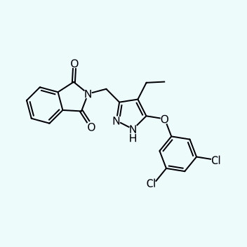 CCc1c(CN2C(=O)c3ccccc3C2=O)n[nH]c1Oc1cc(Cl)cc(Cl)c1